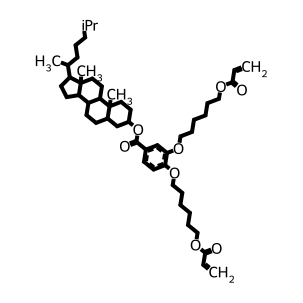 C=CC(=O)OCCCCCCOc1ccc(C(=O)OC2CCC3(C)C(CCC4C3CCC3(C)C(C(C)CCCC(C)C)CCC43)C2)cc1OCCCCCCOC(=O)C=C